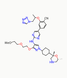 COCCOCCOc1nn(C2CCC([C@@]3(C)CNC[C@@H](C)O3)CC2)cc1Nc1ncc(-c2ccc(C#N)c(OC(C)Cn3cnnn3)c2)cn1